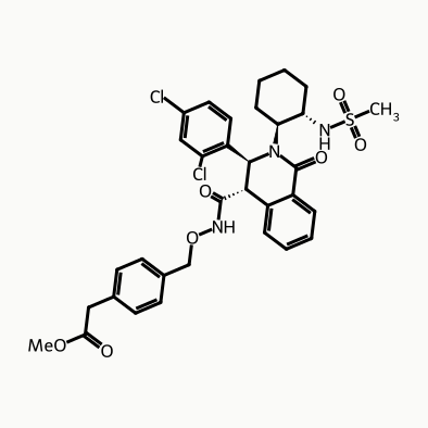 COC(=O)Cc1ccc(CONC(=O)[C@H]2c3ccccc3C(=O)N([C@H]3CCCC[C@@H]3NS(C)(=O)=O)[C@@H]2c2ccc(Cl)cc2Cl)cc1